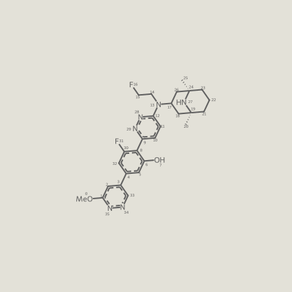 COc1cc(-c2cc(O)c(-c3ccc(N(CCF)C4C[C@]5(C)CCC[C@](C)(C4)N5)nn3)c(F)c2)cnn1